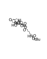 CC(C)(C)OC(=O)NCCCCCC(=O)OCC(=O)[C@@]1(O)CC[C@H]2[C@@H]3CCC4=CC(=O)CC[C@]4(C)[C@H]3[C@@H](O)C[C@@]21C